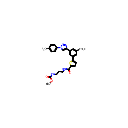 CC(C)(C)OC(=O)NCCCNC(=O)c1ccc(-c2cc(C(=O)O)cc(-c3cn(-c4ccc(C(F)(F)F)cc4)nn3)c2)s1